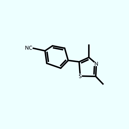 Cc1nc(C)c(-c2ccc(C#N)cc2)s1